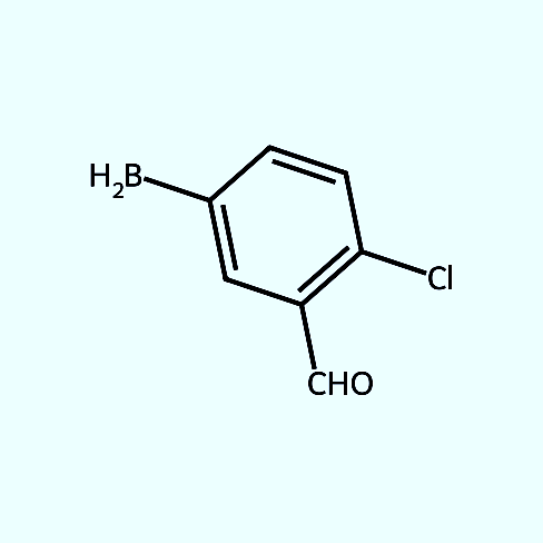 Bc1ccc(Cl)c(C=O)c1